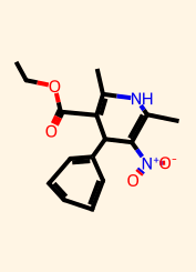 CCOC(=O)C1=C(C)NC(C)=C([N+](=O)[O-])C1c1ccccc1